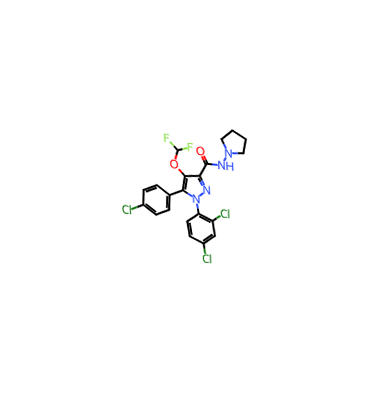 O=C(NN1CCCC1)c1nn(-c2ccc(Cl)cc2Cl)c(-c2ccc(Cl)cc2)c1OC(F)F